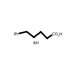 CC(C)CCCCC(=O)O.[KH]